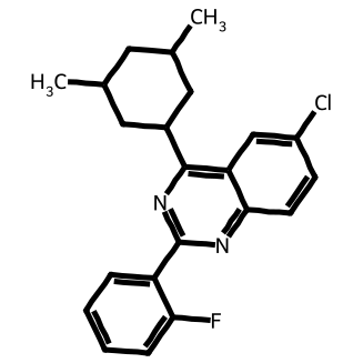 CC1CC(C)CC(c2nc(-c3ccccc3F)nc3ccc(Cl)cc23)C1